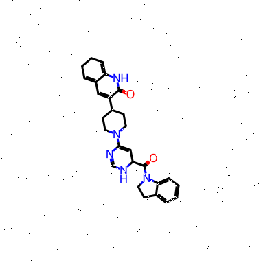 O=C(C1C=C(N2CCC(c3cc4c([nH]c3=O)=CCCC=4)CC2)N=CN1)N1CCc2ccccc21